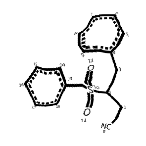 N#CCC(Cc1ccccc1)S(=O)(=O)c1ccccc1